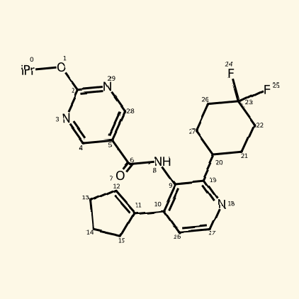 CC(C)Oc1ncc(C(=O)Nc2c(C3=CCCC3)ccnc2C2CCC(F)(F)CC2)cn1